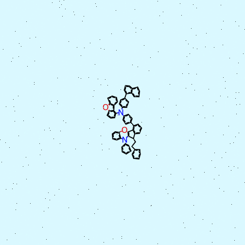 c1ccc(CCC2C3=C(Oc4ccccc4N3c3ccccc3)c3c(-c4ccc(N(c5ccc(-c6cccc7ccccc67)cc5)c5cccc6oc7ccccc7c56)cc4)cccc32)cc1